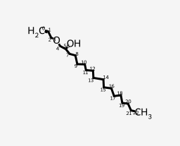 C=CCOCC(O)CCCCCCCCCCCCCCCC